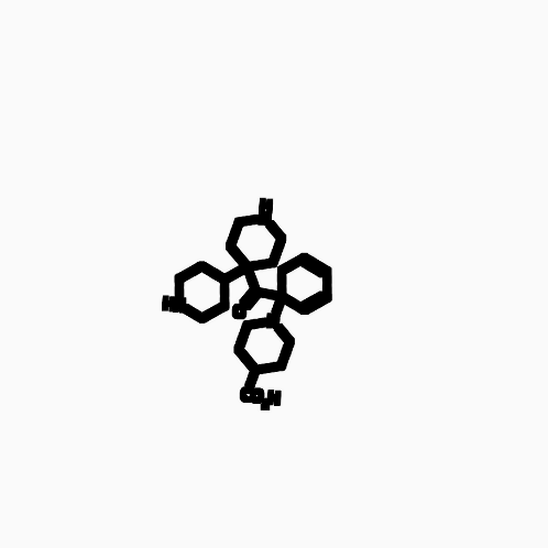 O=C(O)C1CCN(C2(C(=O)C3(C4CCNCC4)CCNCC3)C=CC=CC2)CC1